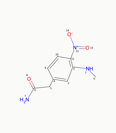 CNc1cc(CC(N)=O)ccc1[N+](=O)[O-]